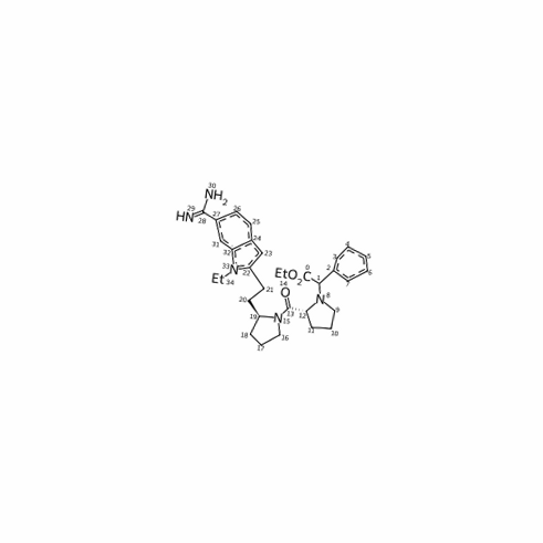 CCOC(=O)C(c1ccccc1)N1CCC[C@@H]1C(=O)N1CCC[C@H]1CCc1cc2ccc(C(=N)N)cc2n1CC